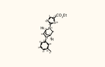 CCOC(=O)c1cnc(N2C[C@@H]3C[C@H]2CN3c2cccc(C)c2)s1